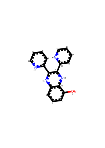 Oc1cccc2nc(-c3ccccn3)c(-c3ccccn3)nc12